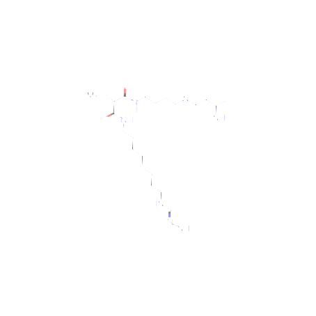 COC(C(=O)NCCCCCCCCNC=NN)C(=O)NCCCCNCCC(C)N